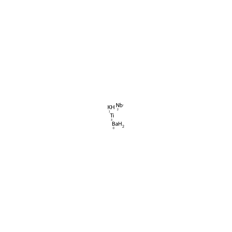 [BaH2].[KH].[Nb].[Ti]